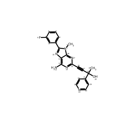 Cn1c(-c2cccc(F)c2)nc2c(N)nc(C#CC(C)(O)c3ccncc3)nc21